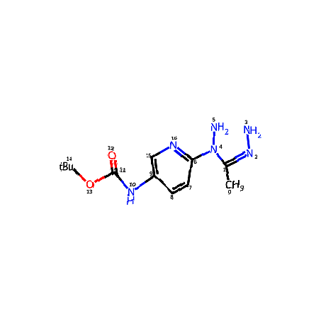 C/C(=N/N)N(N)c1ccc(NC(=O)OC(C)(C)C)cn1